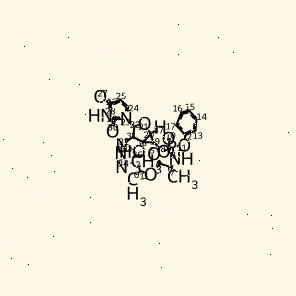 CC(C)OC(=O)[C@H](C)NP(=O)(Oc1ccccc1)OC1[C@H]2O[C@@H](n3ccc(=O)[nH]c3=O)C(N=[N+]=[N-])[C@@]12O